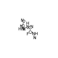 CN(C)CCNc1cc(F)cc(-c2cncc3[nH]c(-c4n[nH]c5ncc(-c6cccnc6)cc45)cc23)c1